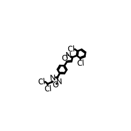 Clc1cccc(Cl)c1-c1cc(-c2ccc(-c3noc(C(Cl)Cl)n3)cc2)on1